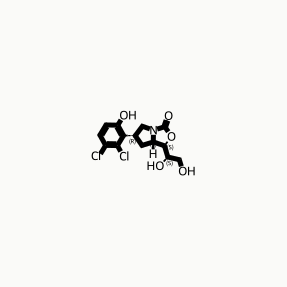 O=C1O[C@H]([C@@H](O)CO)[C@@H]2C[C@H](c3c(O)ccc(Cl)c3Cl)CN12